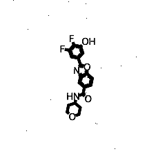 O=C(NC1CCOCC1)c1ccc2oc(-c3cc(O)c(F)c(F)c3)nc2c1